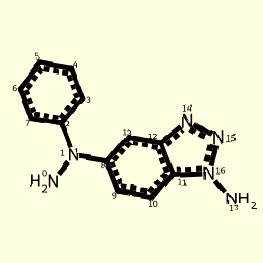 NN(c1ccccc1)c1ccc2c(c1)nnn2N